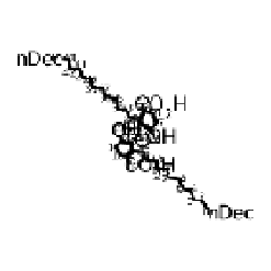 CCCCCCCCCCCCCCCCCCCCCCc1c(C(=O)O)ccc(O)c1S(=O)(=O)c1c(O)ccc(C(=O)O)c1CCCCCCCCCCCCCCCCCCCCCC